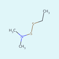 CCSSN(C)C